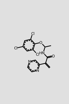 C=C(C(=O)NC(C)Oc1c(Cl)cc(Cl)cc1Cl)c1cnccn1